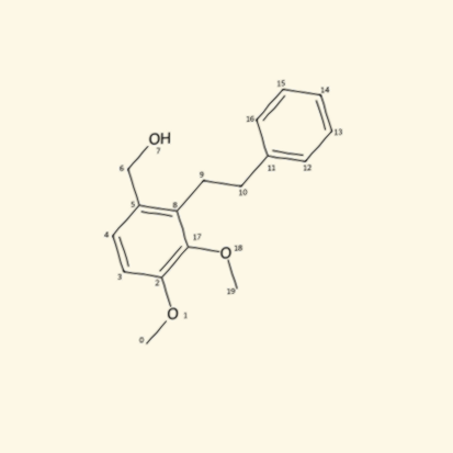 COc1ccc(CO)c(CCc2ccccc2)c1OC